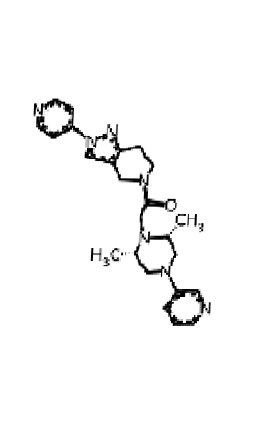 C[C@@H]1CN(c2cccnc2)C[C@H](C)N1CC(=O)N1CCc2nn(-c3ccncc3)cc2C1